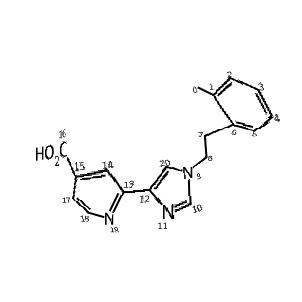 Cc1ccccc1CCn1cnc(-c2cc(C(=O)O)ccn2)c1